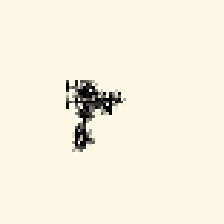 CCN1CCN(CCc2ccc(Nc3nc(-c4cncc(OC)n4)cc4cc[nH]c(=O)c34)cc2)CC1C